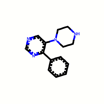 [c]1ncc(N2CCNCC2)c(-c2ccccc2)n1